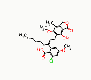 CCCCCCC(=CCc1c(O)c2c(c(C)c1OC)COC2=O)c1cc(OC)cc(Cl)c1C(=O)O